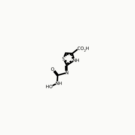 O=C(N=c1[nH]c(C(=O)O)cs1)NO